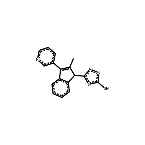 CC1=C(c2cccnc2)c2ccccc2C1c1nnc(S)s1